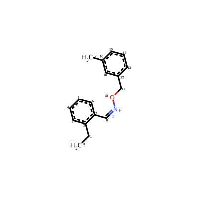 CCc1ccccc1/[C]=N\OCc1cccc(C)c1